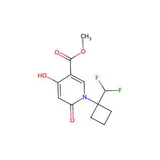 COC(=O)c1cn(C2(C(F)F)CCC2)c(=O)cc1O